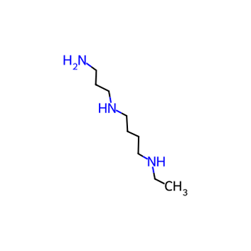 CCNCCCCNCCCN